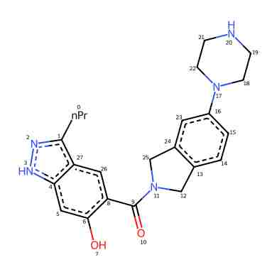 CCCc1n[nH]c2cc(O)c(C(=O)N3Cc4ccc(N5CCNCC5)cc4C3)cc12